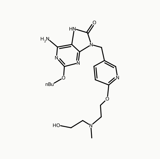 CCCCOc1nc(N)c2[nH]c(=O)n(Cc3ccc(OCCN(C)CCO)nc3)c2n1